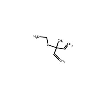 C=CC(C)(C=C)OC[SiH3]